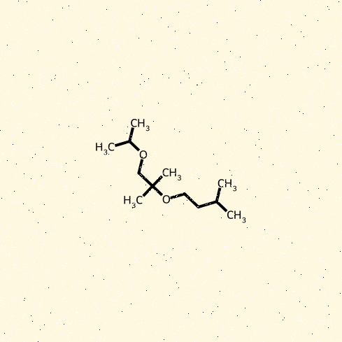 CC(C)CCOC(C)(C)COC(C)C